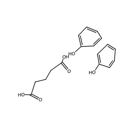 O=C(O)CCCC(=O)O.Oc1ccccc1.Oc1ccccc1